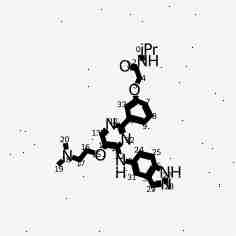 CC(C)NC(=O)COc1cccc(-c2ncc(OCCN(C)C)c(Nc3ccc4[nH]ncc4c3)n2)c1